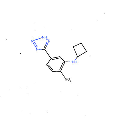 O=[N+]([O-])c1ccc(-c2nn[nH]n2)cc1NC1CCC1